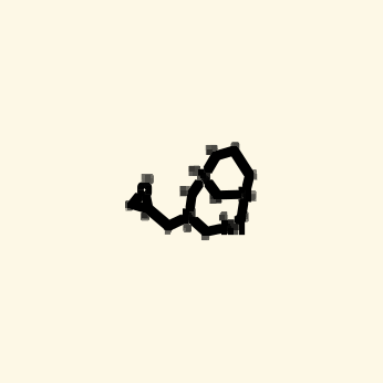 C1CN2CNCN(CC3CO3)CN(C1)C2